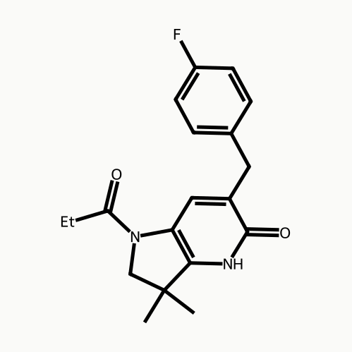 CCC(=O)N1CC(C)(C)c2[nH]c(=O)c(Cc3ccc(F)cc3)cc21